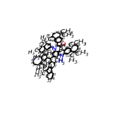 CC1=C(C)c2ccc(N3c4cc(C(C5=CC6=C(CC5C)C5=C(CCC=C5)C6(C)C)c5ccc6c(c5)C(C)(C)CCC/C=C\C6)cc5c4B(c4cc6c(cc4N5)C(C)(C)CCC6(C)C)c4oc5cc6c(cc5c43)C(C)(C)CCC6(C)C)cc2C(C)(C)C1